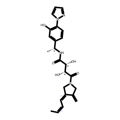 C=C1CN(C(=O)[C@H](O)[C@@H](O)C(=O)N[C@H](C)c2ccc(-n3cccn3)c(O)c2)C/C1=C/C=C\C